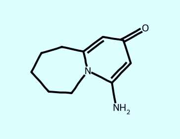 Nc1cc(=O)cc2n1CCCCC2